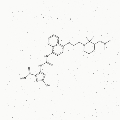 CNC(=O)c1sc(C(C)(C)C)cc1NC(=O)Nc1ccc(OCCN2CCOC(CN(C)C)C2(C)C)c2ccccc12